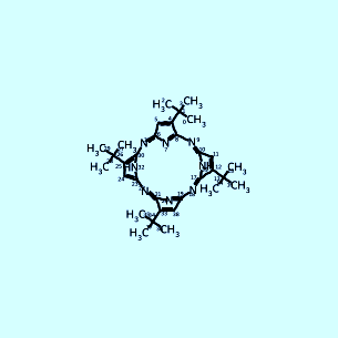 CC(C)(C)C1=Cc2nc1nc1cc(C(C)(C)C)c(nc3nc(nc4cc(C(C)(C)C)c(n2)[nH]4)C(C(C)(C)C)=C3)[nH]1